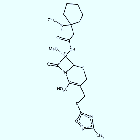 CO[C@@]1(NC(=O)CC2(NC=O)CCCCC2)C(=O)N2C(C(=O)O)=C(CSc3nc(C)no3)CSC21